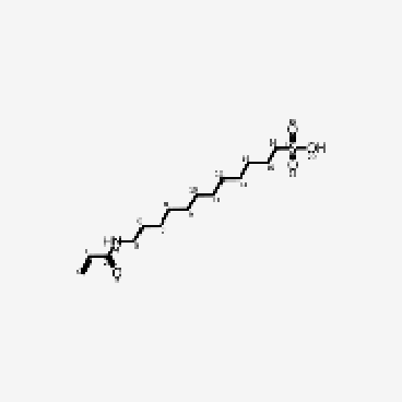 C=CC(=O)NCCCCCCCCCCCCS(=O)(=O)O